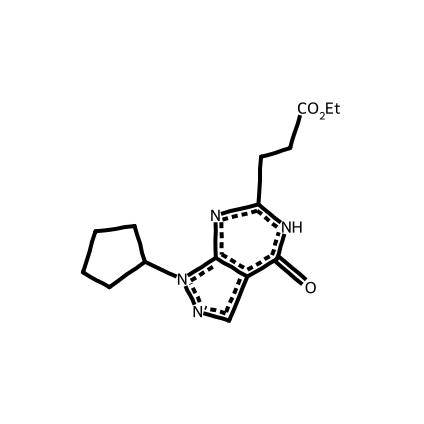 CCOC(=O)CCc1nc2c(cnn2C2CCCC2)c(=O)[nH]1